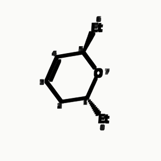 CC[C@@H]1CC=C[C@@H](CC)O1